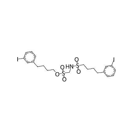 O=S(=O)(CCCCc1cccc(I)c1)NCS(=O)(=O)OCCCCc1cccc(I)c1